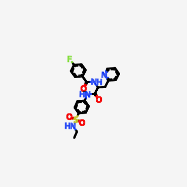 CCNS(=O)(=O)c1ccc(NC(=O)C(Cc2ccccn2)NC(=O)c2ccc(F)cc2)cc1